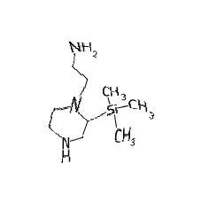 C[Si](C)(C)C1CNCCN1CCN